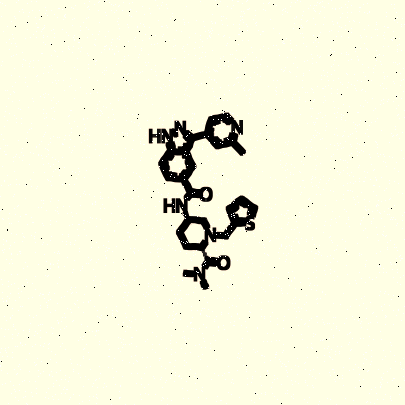 Cc1cc(-c2n[nH]c3ccc(C(=O)N[C@@H]4CC[C@@H](C(=O)N(C)C)N(Cc5cccs5)C4)cc23)ccn1